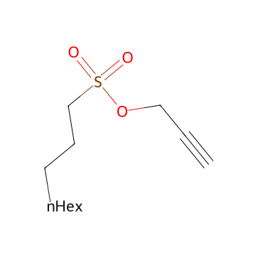 C#CCOS(=O)(=O)CCCCCCCCC